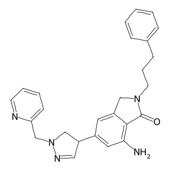 Nc1cc(C2C=NN(Cc3ccccn3)C2)cc2c1C(=O)N(CCCc1ccccc1)C2